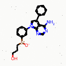 Nc1ncnc2c1c(-c1ccccc1)cn2-c1cccc([S+]([O-])CCCO)c1